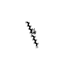 CCCCCCC[PH](=S)CCCCCCC